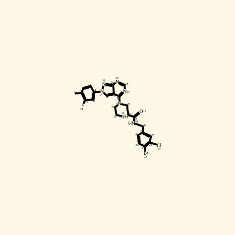 Cc1ccc(-n2cc3c(N4CCNC(C(=O)NCc5ccc(Br)c(Cl)c5)C4)ncnc3n2)cc1F